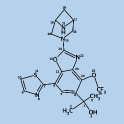 CC(C)(O)c1cc(-c2nccs2)c2oc(N3CC4CC(C3)N4)nc2c1OC(F)(F)F